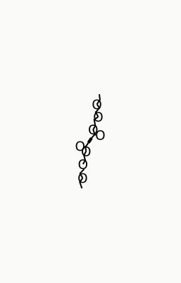 CCOCCOCCOC(=O)C#CC(=O)OCCOCCOCC